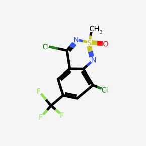 CS1(=O)=Nc2c(Cl)cc(C(F)(F)F)cc2C(Cl)=N1